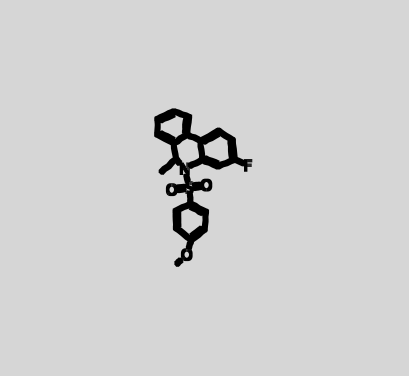 COc1ccc(S(=O)(=O)N2c3cc(F)ccc3-c3ccccc3C2C)cc1